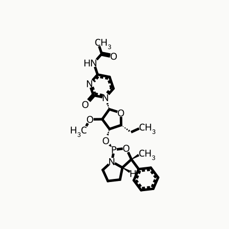 CC[C@H]1O[C@@H](n2ccc(NC(C)=O)nc2=O)C(OC)[C@H]1O[P@@]1O[C@](C)(c2ccccc2)[C@@H]2CCCN21